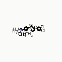 C=C(C)O/C(=C\N)c1ccc(-c2nnc3n2CCCC3Oc2ccc(Cl)c(Cl)c2)cc1OC